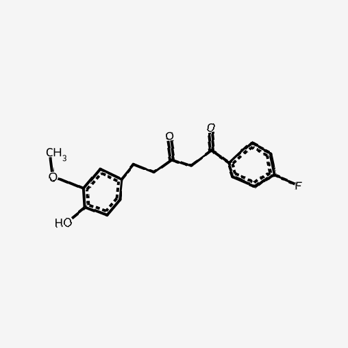 COc1cc(CCC(=O)CC(=O)c2ccc(F)cc2)ccc1O